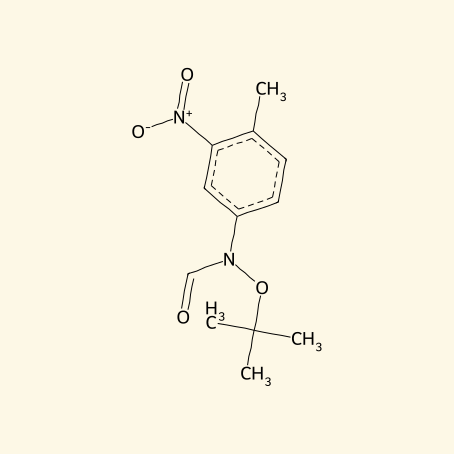 Cc1ccc(N(C=O)OC(C)(C)C)cc1[N+](=O)[O-]